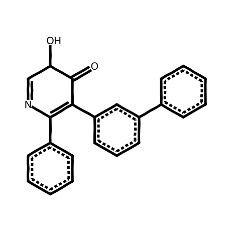 O=C1C(c2cccc(-c3ccccc3)c2)=C(c2ccccc2)N=CC1O